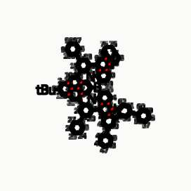 CC(C)(C)c1ccc(-c2cc3c4c(c2)N(c2c(-c5ccccc5)cc(-c5ccccc5)cc2-c2ccccc2)c2cc(-n5c6ccc(-c7ccccc7)cc6c6cc(-c7ccccc7)ccc65)ccc2B4c2ccc(N4C5CC6CC(C5)CC4C6)cc2N3c2c(-c3ccccc3)cc(-c3ccccc3)cc2-c2ccccc2)cc1